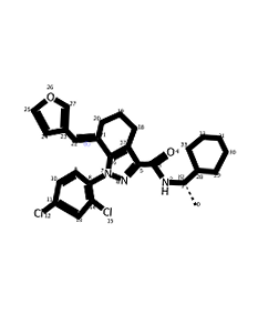 C[C@H](NC(=O)c1nn(-c2ccc(Cl)cc2Cl)c2c1CCC/C2=C\c1ccoc1)C1CCCCC1